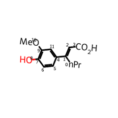 CCCC(=CC(=O)O)c1ccc(O)c(OC)c1